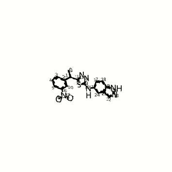 CC(c1cccc([N+](=O)[O-])c1)c1nnc(Nc2ccc3[nH]ncc3c2)s1